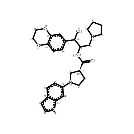 O=C(NC(CN1CCCC1)C(O)c1ccc2c(c1)OCCO2)[C@H]1CCN(c2ccc3ccsc3c2)C1